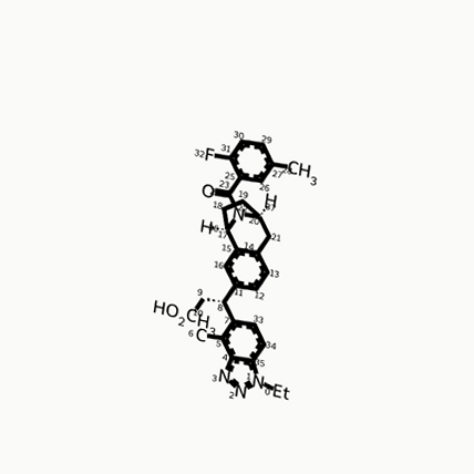 CCn1nnc2c(C)c([C@H](CC(=O)O)c3ccc4c(c3)[C@H]3CC[C@@H](C4)N3C(=O)c3cc(C)ccc3F)ccc21